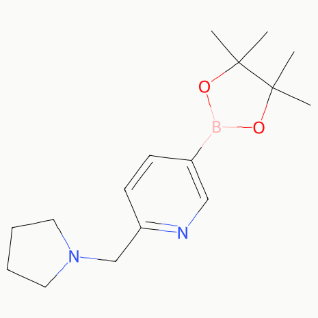 CC1(C)OB(c2ccc(CN3CCCC3)nc2)OC1(C)C